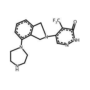 O=c1[nH]ncc(N2Cc3cccc(N4CCNCC4)c3C2)c1C(F)(F)F